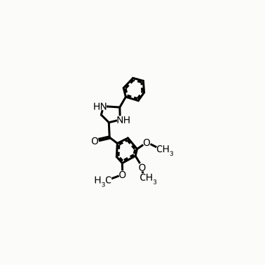 COc1cc(C(=O)C2CNC(c3ccccc3)N2)cc(OC)c1OC